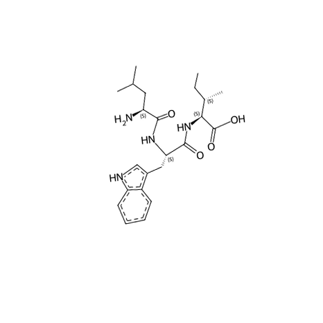 CC[C@H](C)[C@H](NC(=O)[C@H](Cc1c[nH]c2ccccc12)NC(=O)[C@@H](N)CC(C)C)C(=O)O